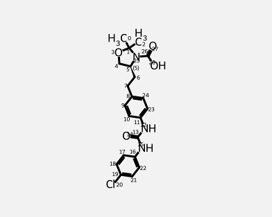 CC1(C)OC[C@H](CCc2ccc(NC(=O)Nc3ccc(Cl)cc3)cc2)N1C(=O)O